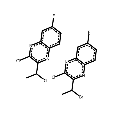 CC(Br)c1nc2ccc(F)cc2nc1Cl.CC(Cl)c1nc2ccc(F)cc2nc1Cl